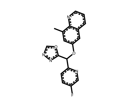 Cc1cc(OC(c2ccc(F)cn2)c2nnco2)cc2cccnc12